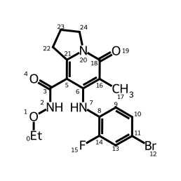 CCONC(=O)c1c(Nc2ccc(Br)cc2F)c(C)c(=O)n2c1CCC2